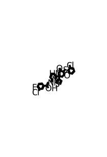 O=C1CC(c2ccsc2)(c2cccc(NCC(O)c3ccc(F)c(Cl)c3)n2)NC(=O)C1Sc1ccccc1Cl